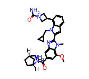 COc1cc(C(=O)N2C[C@H]3CC[C@@H]2[C@@H]3N)cc2nc(-c3cc4cccc(C5CN(C(N)=O)C5)c4n3CC3CC3)n(C)c12